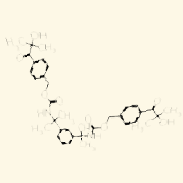 CC(C)(O)C(=O)c1ccc(COC(=O)NC(C)(C)c2cccc(C(C)(C)NC(=O)OCc3ccc(C(=O)C(C)(C)O)cc3)c2)cc1